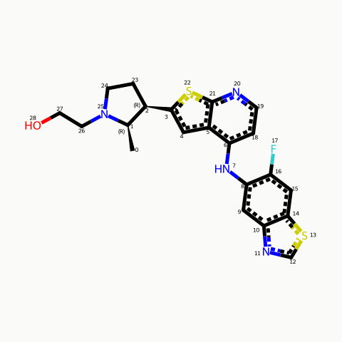 C[C@@H]1[C@H](c2cc3c(Nc4cc5ncsc5cc4F)ccnc3s2)CCN1CCO